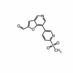 CS(=O)(=O)c1ccc(-c2cncc3cc(C=O)oc23)cn1